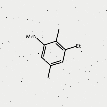 CCc1cc(C)cc(NC)c1C